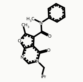 Cc1oc2ncn(CC(C)C)c(=O)c2c1C(=O)N(C)c1ccccc1